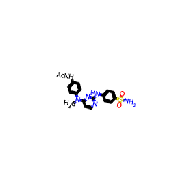 CC(=O)Nc1ccc(N(C)c2ccnc(Nc3ccc(S(N)(=O)=O)cc3)n2)cc1